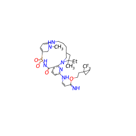 CCC1(C)CC2CCCNC3=CC=C(CN3C)S(=O)(=O)NC(=O)c3ccc(N/C=C\C(=N)OCCC4(C(F)(F)F)CC4)nc3N1C2